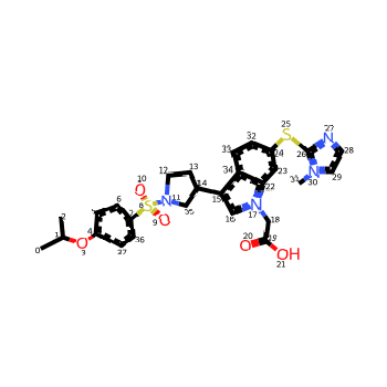 CC(C)Oc1ccc(S(=O)(=O)N2CCC(c3cn(CC(=O)O)c4cc(Sc5nccn5C)ccc34)C2)cc1